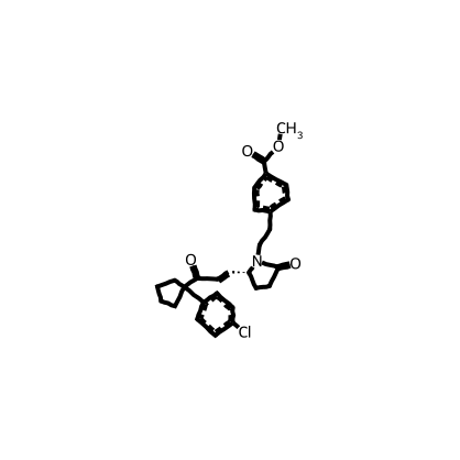 COC(=O)c1ccc(CCN2C(=O)CC[C@@H]2C=CC(=O)C2(c3ccc(Cl)cc3)CCCC2)cc1